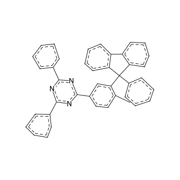 Cc1ccc(-c2nc(-c3ccccc3)nc(-c3ccccc3)n2)cc1C1(c2ccccc2)c2ccccc2-c2ccccc21